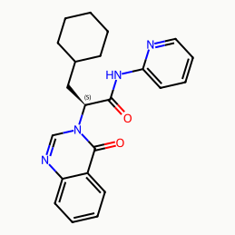 O=C(Nc1ccccn1)[C@H](CC1CCCCC1)n1cnc2ccccc2c1=O